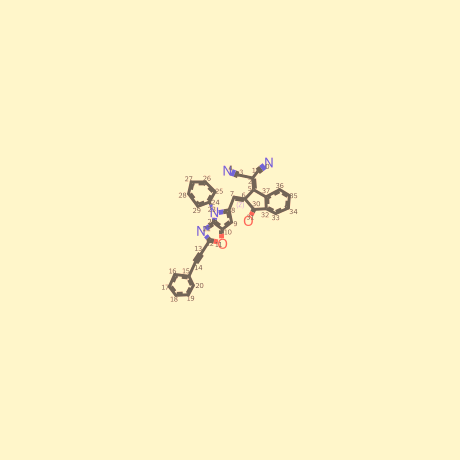 N#CC(C#N)=C1/C(=C/c2cc3oc(C#Cc4ccccc4)nc3n2-c2ccccc2)C(=O)c2ccccc21